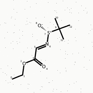 CCOC(=O)/C=N/[S@+]([O-])C(C)(C)C